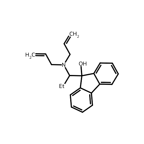 C=CCN(CC=C)C(CC)C1(O)c2ccccc2-c2ccccc21